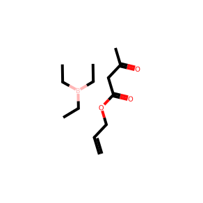 C=CCOC(=O)CC(C)=O.CCB(CC)CC